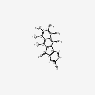 Bc1c(B)c(B)c2c(B)c3c(c(B)c2c1B)C(=O)c1cc(Br)ccc1-3